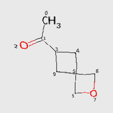 CC(=O)C1CC2(COC2)C1